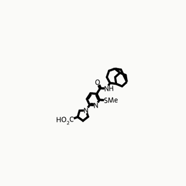 CSc1nc(N2CCC(C(=O)O)C2)ccc1C(=O)NC1CCC2CC3CC2CC1C3